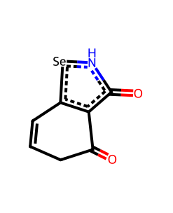 O=C1CC=Cc2[se][nH]c(=O)c21